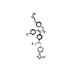 CC(C)OCOc1ccc2c(c1)[C@H](c1ccc(Cl)cc1)N(c1ccc(N(C)C[C@H]3CC[C@H](N4CCC4=O)CC3)cn1)C(=O)C2